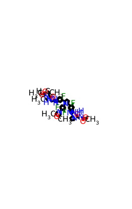 CCCN(Cc1nc2cc(C3CCC(c4cc5nc([C@@H]6CCCN6C(=O)CNC(=O)OC)[nH]c5cc4F)N3c3cc(F)c(N4C[C@@H](C)O[C@@H](C)C4)c(F)c3)c(F)cc2[nH]1)C(=O)C(NC(=O)OC)C(C)C